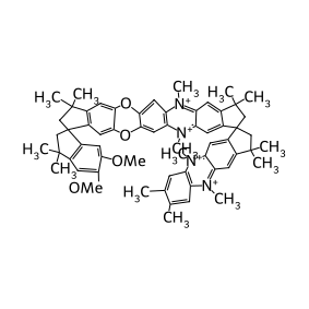 COc1cc2c(cc1OC)C1(CC2(C)C)CC(C)(C)c2cc3c(cc21)Oc1cc2c(cc1O3)[n+](C)c1cc3c(cc1[n+]2C)C1(CC(C)(C)c2cc4c(cc21)[n+](C)c1cc(C)c(C)cc1[n+]4C)CC3(C)C